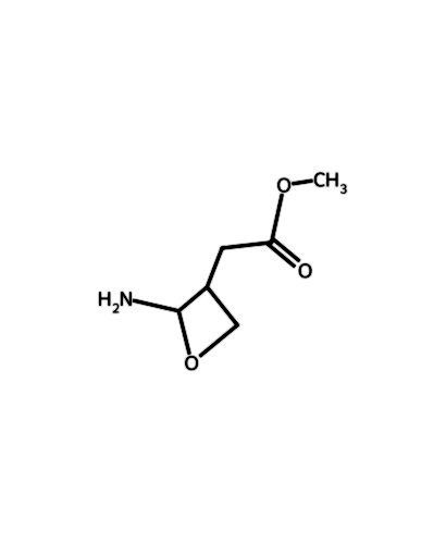 COC(=O)CC1COC1N